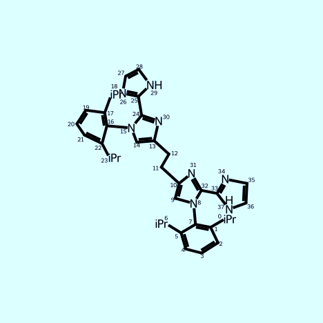 CC(C)c1cccc(C(C)C)c1-n1cc(CCc2cn(-c3c(C(C)C)cccc3C(C)C)c(-c3ncc[nH]3)n2)nc1-c1ncc[nH]1